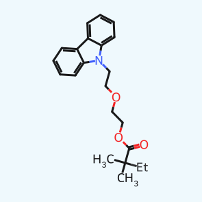 CCC(C)(C)C(=O)OCCOCCn1c2ccccc2c2ccccc21